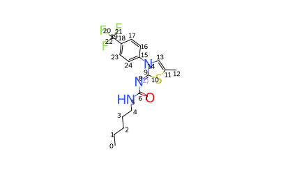 CCCCCNC(=O)/N=c1\sc(C)cn1-c1ccc(C(F)(F)F)cc1